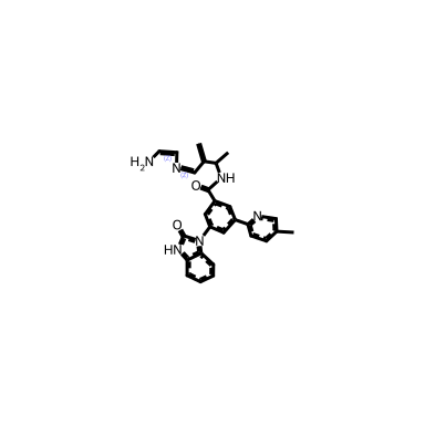 C=C(/C=N\C=C/N)C(C)NC(=O)c1cc(-c2ccc(C)cn2)cc(-n2c(=O)[nH]c3ccccc32)c1